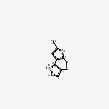 Clc1cc2c(s1)CCc1cn[nH]c1-2